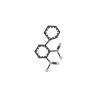 O=[N+]([O-])c1cccc(-c2ccccc2)c1[N+](=O)[O-]